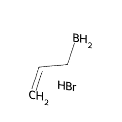 BCC=C.Br